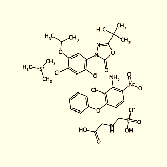 CC(C)Oc1cc(-n2nc(C(C)(C)C)oc2=O)c(Cl)cc1Cl.C[S+](C)C.Nc1c([N+](=O)[O-])ccc(Oc2ccccc2)c1Cl.O=C(O)CNCP(=O)([O-])O